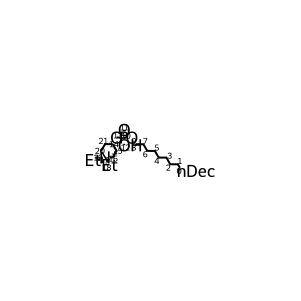 CCCCCCCCCCCCCCCCCCOP(=O)(O)OC1CC[N+](CC)(CC)CC1